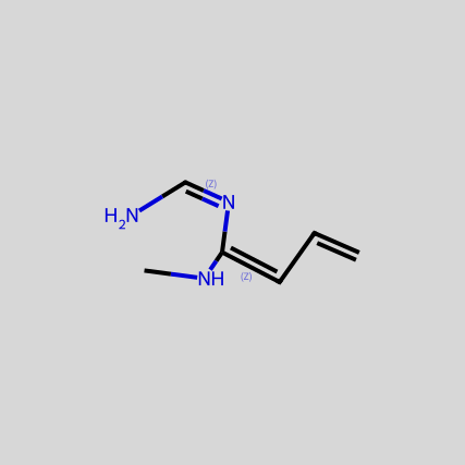 C=C/C=C(\N=C/N)NC